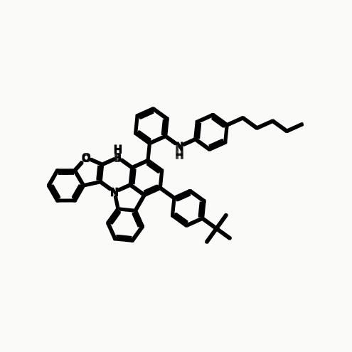 CCCCCc1ccc(Nc2ccccc2-c2cc(-c3ccc(C(C)(C)C)cc3)c3c4ccccc4n4c3c2Bc2oc3ccccc3c2-4)cc1